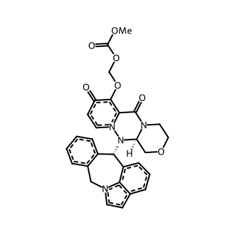 COC(=O)OCOc1c2n(ccc1=O)N([C@H]1c3ccccc3Cn3ccc4cccc1c43)[C@@H]1COCCN1C2=O